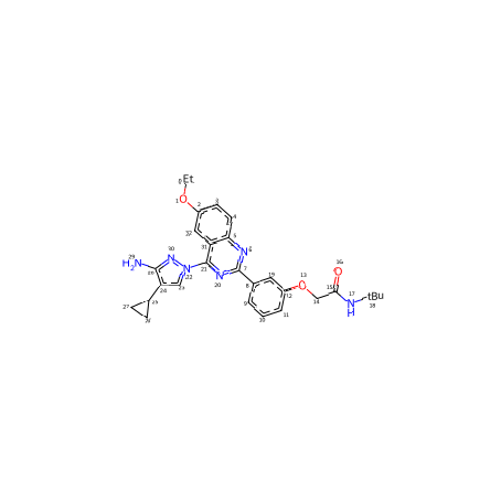 CCOc1ccc2nc(-c3cccc(OCC(=O)NC(C)(C)C)c3)nc(-n3cc(C4CC4)c(N)n3)c2c1